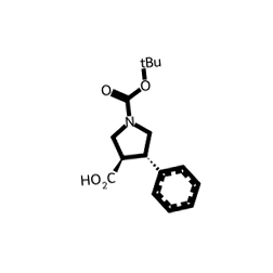 CC(C)(C)OC(=O)N1C[C@H](C(=O)O)[C@@H](c2ccccc2)C1